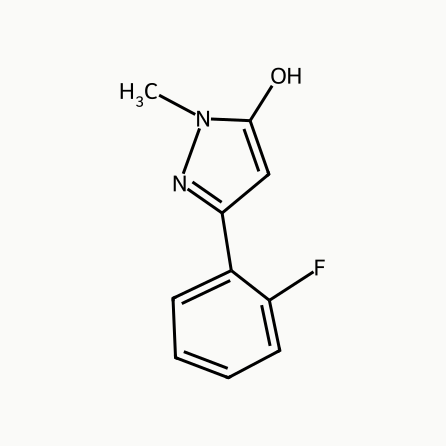 Cn1nc(-c2ccccc2F)cc1O